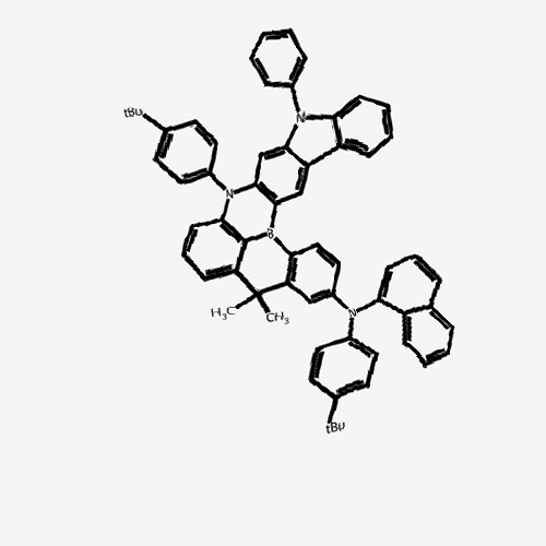 CC(C)(C)c1ccc(N2c3cc4c(cc3B3c5ccc(N(c6ccc(C(C)(C)C)cc6)c6cccc7ccccc67)cc5C(C)(C)c5cccc2c53)c2ccccc2n4-c2ccccc2)cc1